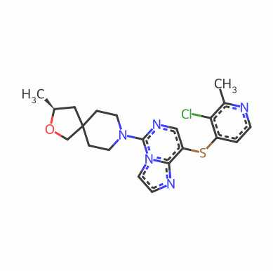 Cc1nccc(Sc2cnc(N3CCC4(CC3)CO[C@@H](C)C4)n3ccnc23)c1Cl